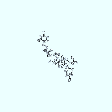 CC(=O)O[C@H]1C[C@]2(O)[C@@H]3CC[C@@H]4C[C@@H](OC(=O)NCCN5CCN(C)CC5=O)CC[C@]4(C)[C@H]3CC[C@]2(C)[C@H]1c1ccc(=O)oc1